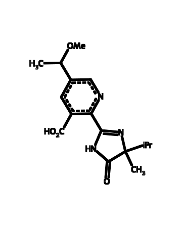 COC(C)c1cnc(C2=NC(C)(C(C)C)C(=O)N2)c(C(=O)O)c1